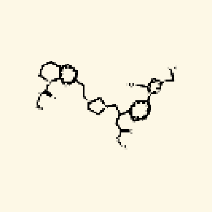 Cc1cc(CO)nn1-c1cccc(C(CC(=O)OC(C)(C)C)CN2CC[C@@H](CCc3ccc4c(n3)N(C(=O)OC(C)(C)C)CCC4)C2)c1